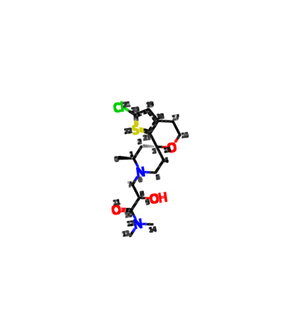 C[C@H]1C[C@@]2(CCN1CC(O)C(=O)N(C)C)OCCc1cc(Cl)sc12